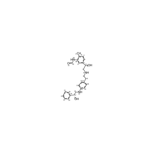 Cc1ccc([C@@H](O)CNCCc2ccc(NC[C@H](O)c3ccccc3)cc2)cc1NC=O